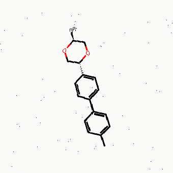 CCC[C@H]1CO[C@H](c2ccc(-c3ccc(C)cc3)cc2)CO1